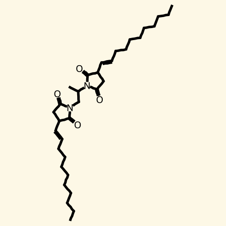 CCCCCCCCC/C=C/C1CC(=O)N(CC(C)N2C(=O)CC(/C=C/CCCCCCCCC)C2=O)C1=O